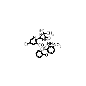 CCc1cnc(C2=NC(C)(C(C)C)C(=O)N2)c(C(=O)O)c1.Nc1c([N+](=O)[O-])ccc(Oc2ccccc2)c1Cl